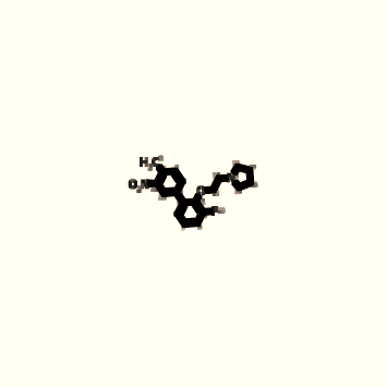 Cc1ccc(-c2cccc(F)c2OCCN2CCCC2)cc1[N+](=O)[O-]